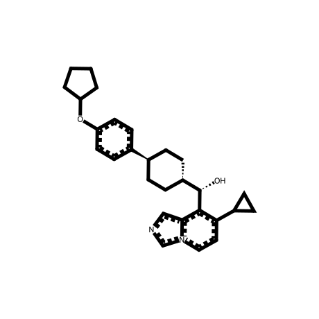 O[C@H](c1c(C2CC2)ccn2cncc12)[C@H]1CC[C@H](c2ccc(OC3CCCC3)cc2)CC1